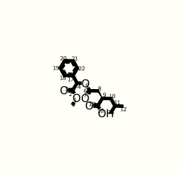 COC(=O)C(OC(=O)C[C@@H](CC(C)C)C(=O)O)c1ccccc1